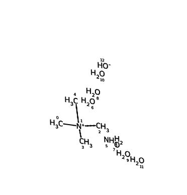 C[N+](C)(C)C.N.O.O.O.O.O.O.[OH-]